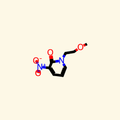 COCCn1cccc([N+](=O)[O-])c1=O